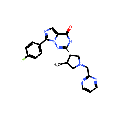 CC1CN(Cc2ncccn2)C[C@H]1c1nn2c(-c3ccc(F)cc3)ncc2c(=O)[nH]1